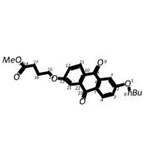 CCCCOc1ccc2c(c1)C(=O)c1ccc(OCCCC(=O)OC)cc1C2=O